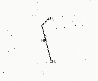 CCCCCC=CCC=CCCCCCCCCNCCOCCCCCCCC/C=C\CCCCCCCC